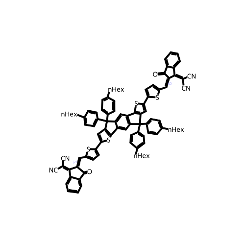 CCCCCCc1ccc(C2(c3ccc(CCCCCC)cc3)c3cc4c(cc3-c3sc(-c5ccc(/C=C6\C(=O)c7ccccc7C6=C(C#N)C#N)s5)cc32)C(c2ccc(CCCCCC)cc2)(c2ccc(CCCCCC)cc2)c2cc(-c3ccc(/C=C5\C(=O)c6ccccc6C5=C(C#N)C#N)s3)sc2-4)cc1